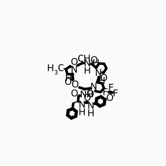 C[C@@H]1C[C@H]2C(=O)OC[C@H](NC(=O)[C@H](Cc3ccccc3)NC(=O)Nc3ccc(OC(F)(F)F)cc3)C(=O)N3CCCC[C@H]3C(=O)N3CCCC[C@H]3C(=O)N[C@@H](C)C(=O)N2C1